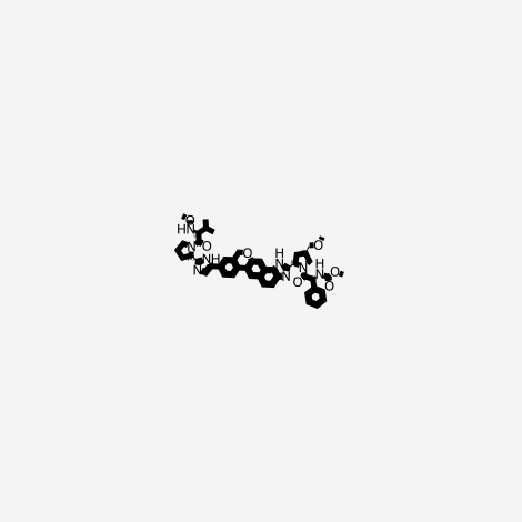 COC[C@H]1C[C@@H](c2nc3ccc4cc5c(cc4c3[nH]2)OCc2cc(-c3cnc([C@@H]4CCCN4C(=O)[C@@H](NOC)C(C)C)[nH]3)ccc2-5)N(C(=O)[C@H](NC(=O)OC)c2ccccc2)C1